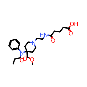 CCC(=O)N(c1ccccc1)C1(C(=O)OC)CCN(CCNC(=O)CCCC(=O)O)CC1